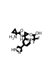 NC1(C(=O)NC2(c3cc(-c4cn[nH]c4)ccn3)CC2)CC1.O=C(O)C(F)(F)F